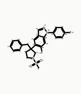 CS(=O)(=O)N1CCC(Cc2ccccc2)(c2cc3cnn(-c4ccc(F)cc4)c3cc2F)C1